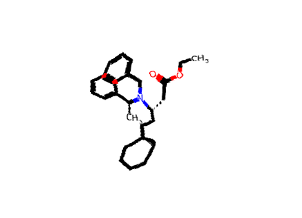 CCOC(=O)C[C@H](CCC1CCCCC1)N(Cc1ccccc1)[C@@H](C)c1ccccc1